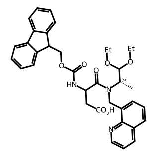 CCOC(OCC)[C@H](C)N(Cc1cccc2cccnc12)C(=O)C(CC(=O)O)NC(=O)OCC1c2ccccc2-c2ccccc21